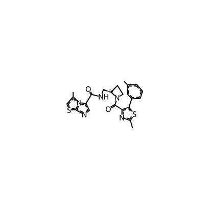 Cc1cccc(-c2sc(C)nc2C(=O)N2CC[C@@H]2CNC(=O)c2cnc3scc(C)n23)c1